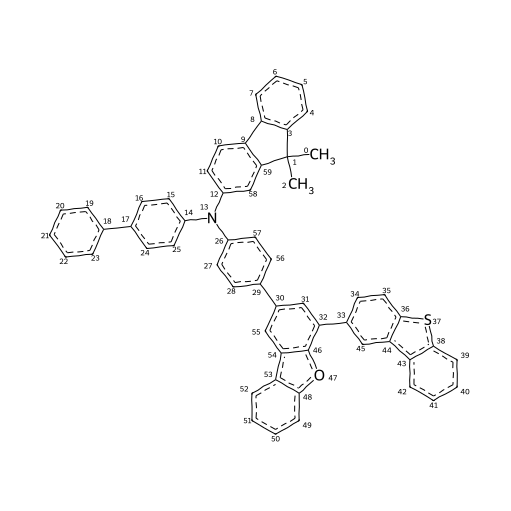 CC1(C)c2ccccc2-c2ccc(N(c3ccc(-c4ccccc4)cc3)c3ccc(-c4cc(-c5ccc6sc7ccccc7c6c5)c5oc6ccccc6c5c4)cc3)cc21